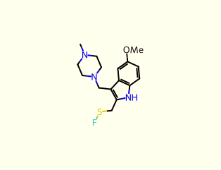 COc1ccc2[nH]c(CSF)c(CN3CCN(C)CC3)c2c1